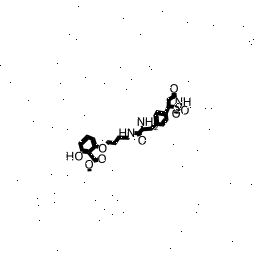 COC(=O)c1c(O)cccc1OCCCCNC(=O)[C@@H](N)Cc1ccc(C2CC(=O)NS2(=O)=O)cc1